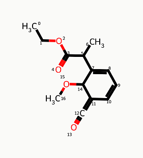 CCOC(=O)C(C)C1=CC=CC(=C=O)C1OC